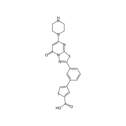 O=C(O)c1cc(-c2cccc(-c3nn4c(=O)cc(N5CCNCC5)nc4s3)c2)cs1